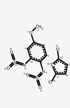 COc1ccc(N=S(=O)=O)c(N=S(=O)=O)c1.Clc1ccc(Cl)s1